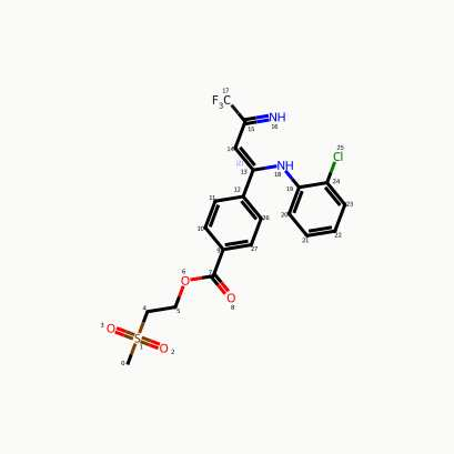 CS(=O)(=O)CCOC(=O)c1ccc(/C(=C/C(=N)C(F)(F)F)Nc2ccccc2Cl)cc1